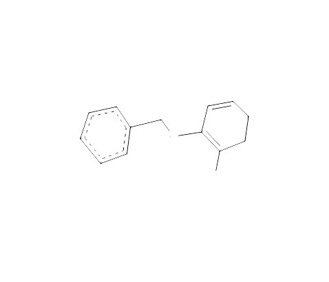 BrC1=C(OCc2ccccc2)C=CCC1